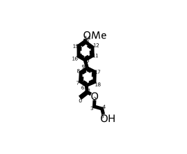 C=C(OCCO)c1ccc(-c2ccc(OC)cc2)cc1